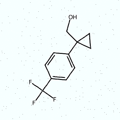 OCC1(c2ccc(C(F)(F)F)cc2)CC1